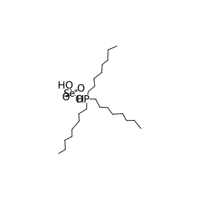 CCCCCCCC[PH](CCCCCCCC)(CCCCCCCC)O[Se](=O)(=O)O